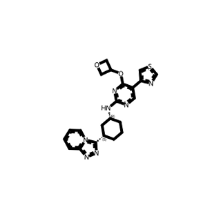 c1ccn2c([C@H]3CCC[C@@H](Nc4ncc(-c5cscn5)c(OC5COC5)n4)C3)nnc2c1